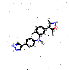 CCN(c1ccc(-c2cn[nH]c2)cc1)c1cc(-c2c(C)noc2C)ccc1C